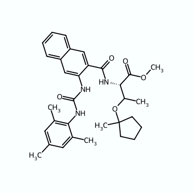 COC(=O)[C@@H](NC(=O)c1cc2ccccc2cc1NC(=O)Nc1c(C)cc(C)cc1C)C(C)OC1(C)CCCC1